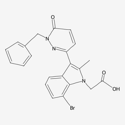 Cc1c(-c2ccc(=O)n(Cc3ccccc3)n2)c2cccc(Br)c2n1CC(=O)O